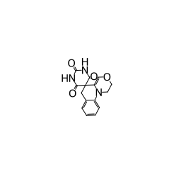 O=C1NC(=O)C2(Cc3ccccc3N3CCOC=C32)C(=O)N1